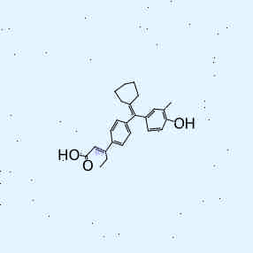 CC/C(=C\C(=O)O)c1ccc(C(=C2CCCCC2)c2ccc(O)c(C)c2)cc1